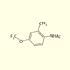 CC(=O)Nc1ccc(OC(F)(F)F)cc1C